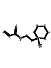 C=CC(=O)OCC[N+]1(CC)CCCCC1